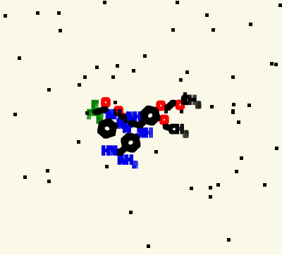 CCOc1cc(C(Nc2ccc(C(=N)N)cc2)c2nn(-c3ccccc3NC(=O)C(F)(F)F)c(=O)[nH]2)ccc1OCCOC